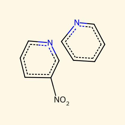 O=[N+]([O-])c1cccnc1.c1ccncc1